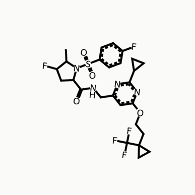 CC1C(F)CC(C(=O)NCc2cc(OCCC3(C(F)(F)F)CC3)nc(C3CC3)n2)N1S(=O)(=O)c1ccc(F)cc1